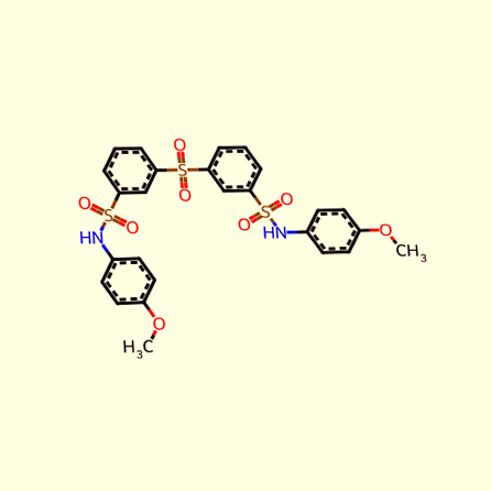 COc1ccc(NS(=O)(=O)c2cccc(S(=O)(=O)c3cccc(S(=O)(=O)Nc4ccc(OC)cc4)c3)c2)cc1